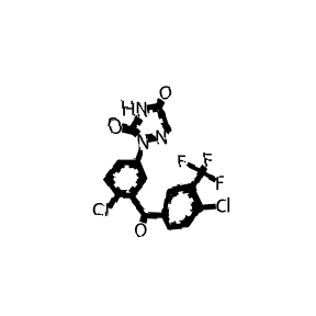 O=C(c1ccc(Cl)c(C(F)(F)F)c1)c1cc(-n2ncc(=O)[nH]c2=O)ccc1Cl